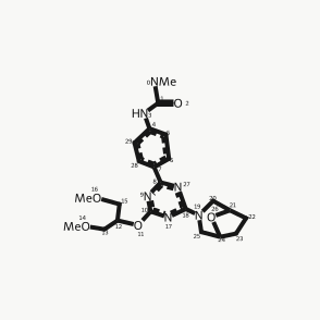 CNC(=O)Nc1ccc(-c2nc(OC(COC)COC)nc(N3CC4CCC(C3)O4)n2)cc1